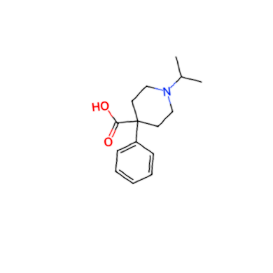 CC(C)N1CCC(C(=O)O)(c2ccccc2)CC1